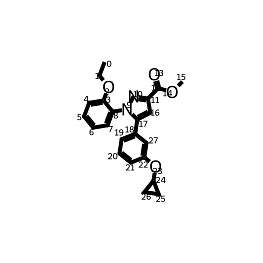 CCOc1ccccc1-n1nc(C(=O)OC)cc1-c1cccc(OC2CC2)c1